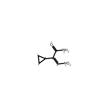 NC(=O)C(=C[N+](=O)[O-])C1CC1